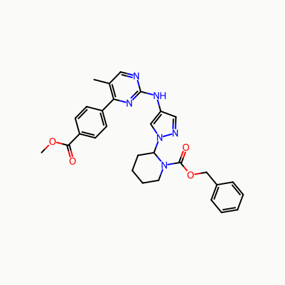 COC(=O)c1ccc(-c2nc(Nc3cnn(C4CCCCN4C(=O)OCc4ccccc4)c3)ncc2C)cc1